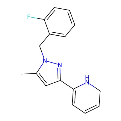 Cc1cc(C2=CC=CCN2)nn1Cc1ccccc1F